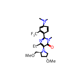 CCc1nc(-c2ccc(N(C)C)cc2C(F)(F)F)n(C)c(=O)c1N1C[C@H](OC)C[C@H]1COC